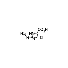 [N-]=[N+]=Nc1nc(Cl)c(C(=O)O)[nH]1